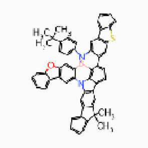 CC(C)(C)c1ccc(N2B3c4cc5oc6ccccc6c5cc4-n4c5cc6c(cc5c5ccc(c3c54)-c3cc4sc5ccccc5c4cc32)C(C)(C)c2ccccc2-6)cc1